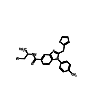 Cc1ccc(-n2c(Cc3cccs3)nc3cc(C(=O)N[C@@H](CC(C)C)C(=O)O)ccc32)cc1